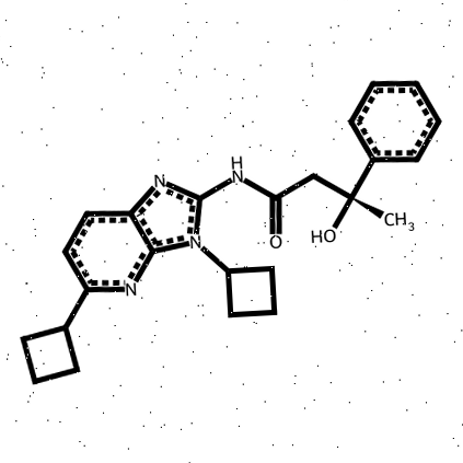 C[C@@](O)(CC(=O)Nc1nc2ccc(C3CCC3)nc2n1C1CCC1)c1ccccc1